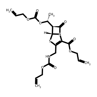 C=CCOC(=O)NCC1=C(C(=O)OCC=C)N2C(=O)[C@H]([C@@H](C)OC(=O)OCC=C)[C@H]2S1